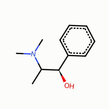 CC([C@H](O)c1ccccc1)N(C)C